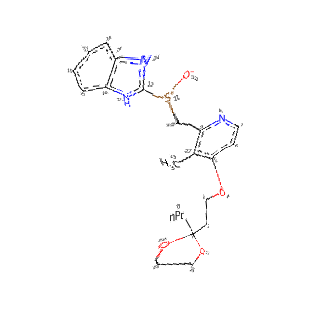 CCCC1(CCOc2ccnc(C[S+]([O-])c3nc4ccccc4[nH]3)c2C)OCCO1